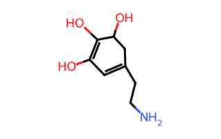 NCCC1=CC(O)=C(O)C(O)C1